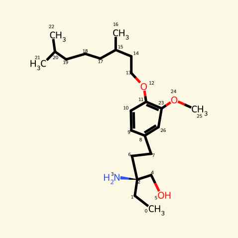 CC[C@@](N)(CO)CCc1ccc(OCCC(C)CCCC(C)C)c(OC)c1